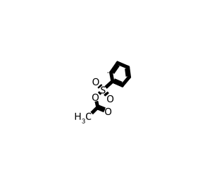 CC(=O)OS(=O)(=O)c1[c]cccc1